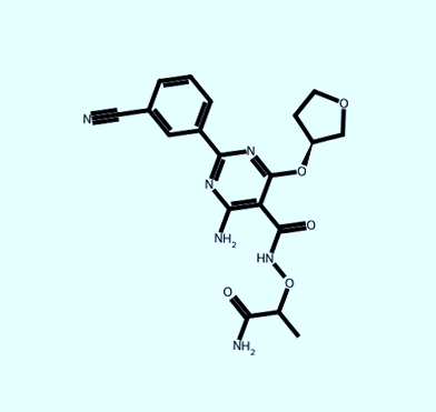 CC(ONC(=O)c1c(N)nc(-c2cccc(C#N)c2)nc1O[C@H]1CCOC1)C(N)=O